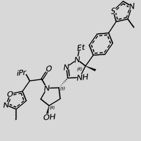 CCN1N=C([C@@H]2C[C@@H](O)CN2C(=O)C(c2cc(C)no2)C(C)C)N[C@@]1(C)c1ccc(-c2scnc2C)cc1